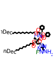 C#C[C@]1(COP(=O)(N[C@@H](Cc2ccccc2)C(=O)OCCCCCCCCCCCCCCCCCCCCCC)Oc2ccccc2)O[C@@H](n2cnc3c(N)nc(F)nc32)C[C@@H]1OC(=O)CCCCCCCCCCCCCCCCCCC